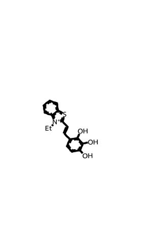 CC[n+]1c(/C=C/c2ccc(O)c(O)c2O)sc2ccccc21